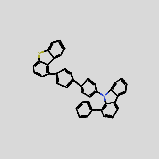 c1ccc(-c2cccc3c4ccccc4n(-c4ccc(-c5ccc(-c6cccc7sc8ccccc8c67)cc5)cc4)c23)cc1